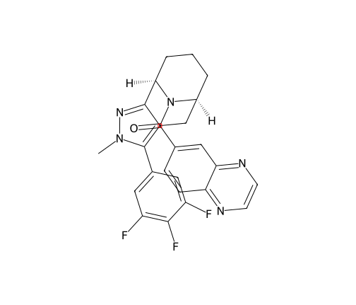 Cn1nc2c(c1-c1cc(F)c(F)c(F)c1)C[C@@H]1CCC[C@H]2N1C(=O)c1ccc2nccnc2c1